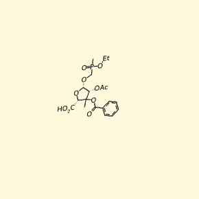 CCOP(C)(=O)CO[C@H]1O[C@@H](C(=O)O)C(C)(OC(=O)c2ccccc2)[C@H]1OC(C)=O